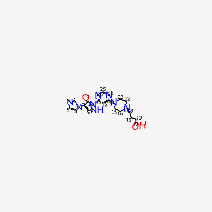 O=c1c(-n2ccnc2)c[nH]n1-c1cc(N2CCN(CCCO)CC2)ncn1